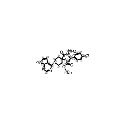 CC(=O)NN(C(=O)C1(NC(=O)OC(C)(C)C)CCN(c2ncnc3[nH]ccc23)CC1)C(C)c1ccc(Cl)cc1